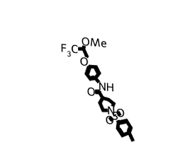 COC(COc1ccc(NC(=O)C2CCN(S(=O)(=O)c3ccc(C)cc3)CC2)cc1)C(F)(F)F